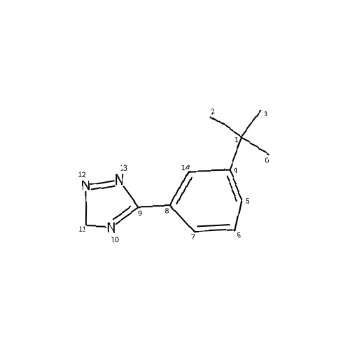 CC(C)(C)c1cccc(C2=NCN=N2)c1